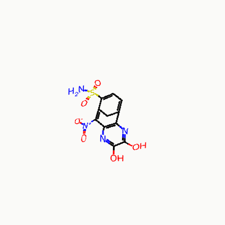 NS(=O)(=O)C1=CC=C2CC1=C([N+](=O)[O-])c1nc(O)c(O)nc12